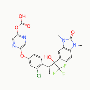 CC(c1ccc(Oc2cnc(OC(=O)O)cn2)cc1Cl)C(O)(c1ccc2c(c1)n(C)c(=O)n2C)C(F)(F)F